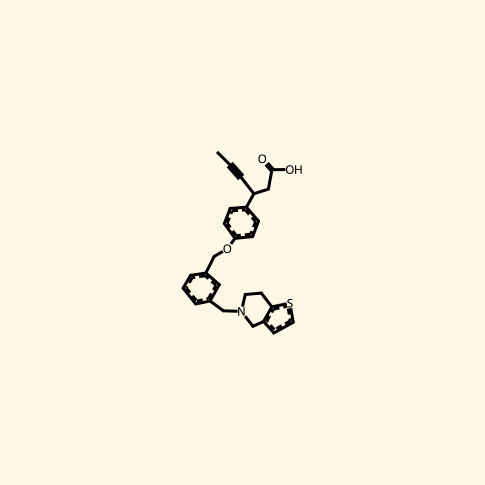 CC#CC(CC(=O)O)c1ccc(OCc2cccc(CN3CCc4sccc4C3)c2)cc1